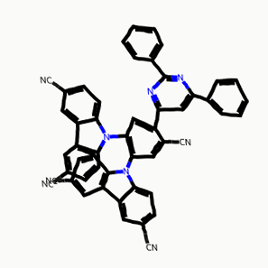 N#Cc1ccc2c(c1)c1cc(C#N)ccc1n2-c1cc(C#N)c(-c2cc(-c3ccccc3)nc(-c3ccccc3)n2)cc1-n1c2ccc(C#N)cc2c2cc(C#N)ccc21